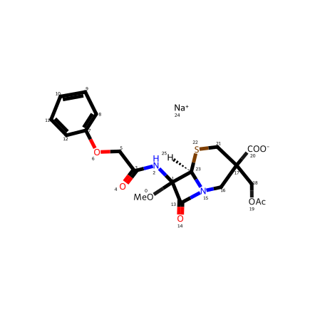 COC1(NC(=O)COc2ccccc2)C(=O)N2CC(COC(C)=O)(C(=O)[O-])CS[C@@H]21.[Na+]